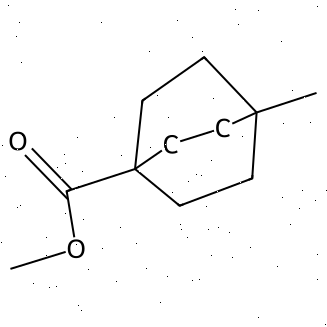 COC(=O)C12CCC(C)(CC1)CC2